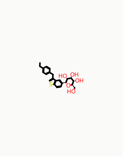 CCc1ccc(Cc2csc3ccc([C@@H]4O[C@H](CO)[C@@H](O)[C@H](O)[C@H]4O)cc23)cc1